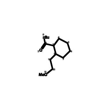 CCCCC(=O)C1CCCCC1CCOC